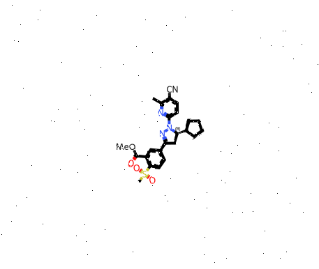 COC(=O)c1cc(C2=NN(c3ccc(C#N)c(C)n3)[C@@H](C3CCCC3)C2)ccc1S(C)(=O)=O